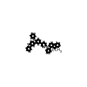 CC1(C)c2ccccc2-c2ccc3c(c21)c1ccccc1n3-c1ccc(-c2ccc3c(c2)c2cc4c(cc2n3-c2ccccc2)sc2ccccc24)cn1